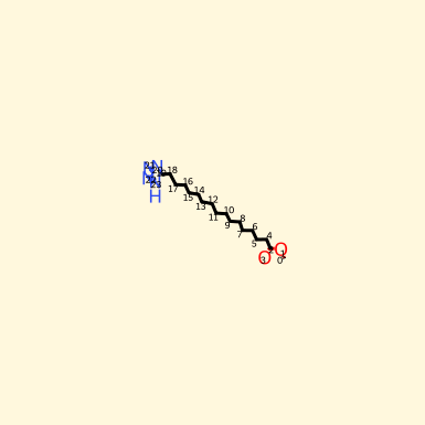 COC(=O)CCCCCCCCCCCCCCCc1nnn[nH]1